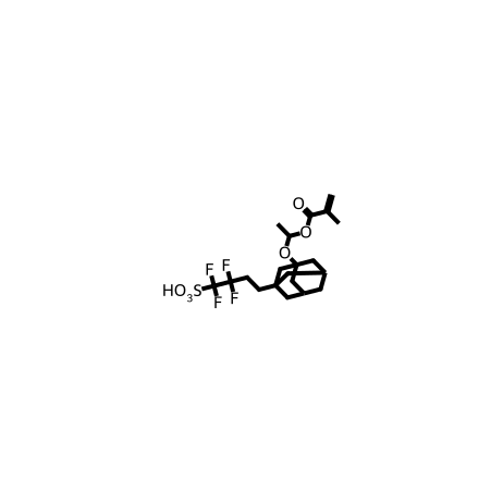 C=C(C)C(=O)OC(C)OC12CC3CC(CC(CCC(F)(F)C(F)(F)S(=O)(=O)O)(C3)C1)C2